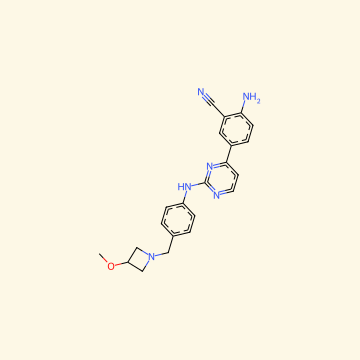 COC1CN(Cc2ccc(Nc3nccc(-c4ccc(N)c(C#N)c4)n3)cc2)C1